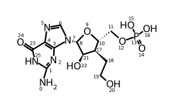 Nc1nc2c(ncn2[C@@H]2O[C@H](COP(=O)(O)O)[C@@H](CCO)[C@H]2O)c(=O)[nH]1